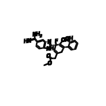 COC(=O)CC1=CC(F)(c2nc3cc(C(=N)N)ccc3[nH]2)C(O)=C(c2ccccc2O)C1